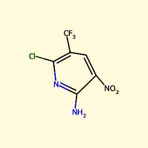 Nc1nc(Cl)c(C(F)(F)F)cc1[N+](=O)[O-]